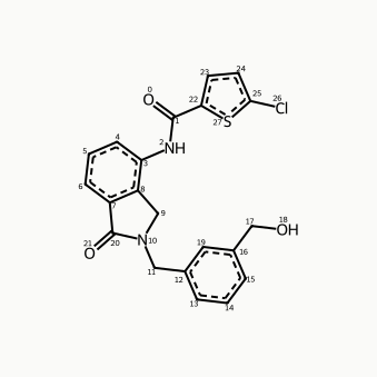 O=C(Nc1cccc2c1CN(Cc1cccc(CO)c1)C2=O)c1ccc(Cl)s1